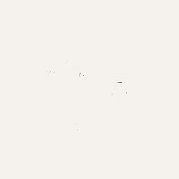 CO[C@@H]1COCC[C@@H]1N[C@@H]1C=C[C@@](C(=O)OCc2ccccc2)(C2(O)CCC2)C1